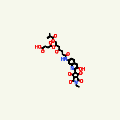 C=C(C)C(=O)OCC(CC(=O)CCC(=O)Nc1ccc2cc(O)c(C3C(=O)C4=C(C3=O)C(=O)N(CC)C4=O)nc2c1)OC(=O)CCC(=O)O